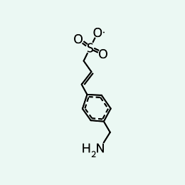 NCc1ccc(C=CCS([O])(=O)=O)cc1